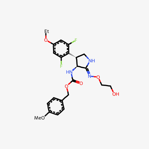 CCOc1cc(F)c([C@@H]2CN/C(=N\OCCO)[C@H]2NC(=O)OCc2ccc(OC)cc2)c(F)c1